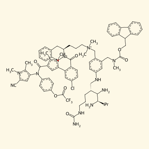 Cc1c(N(C(=O)c2cc(-c3cc(Cl)ccc3C(=O)N3Cc4ccccc4C[C@H]3CCC[N+](C)(C)Cc3ccc(NC[C@@H](CCCNC(N)=O)C(N)[C@H](N)C(C)C)cc3CN(C)C(=O)OCC3c4ccccc4-c4ccccc43)n(C)c2C)c2ccc(OC(=O)C(F)(F)F)cc2)cc(C#N)n1C